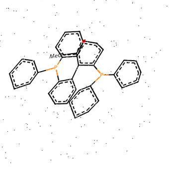 COc1cccc(P(c2ccccc2)c2ccccc2)c1-c1ccccc1P(c1ccccc1)c1ccccc1